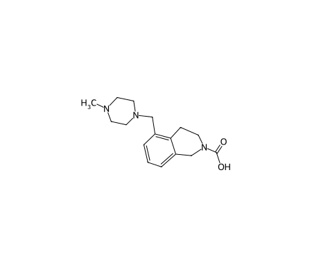 CN1CCN(Cc2cccc3c2CCN(C(=O)O)C3)CC1